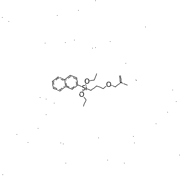 C=C(C)COCCC[Si](OCC)(OCC)c1ccc2ccccc2c1